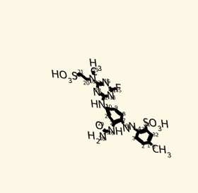 Cc1ccc(/N=N/c2ccc(Nc3nc(F)nc(N(C)CCS(=O)(=O)O)n3)cc2NC(N)=O)c(S(=O)(=O)O)c1